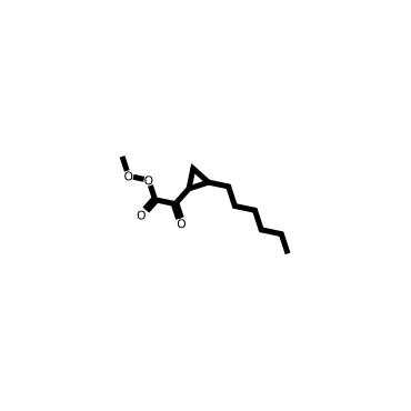 CCCCCCC1CC1C(=O)C(=O)OOC